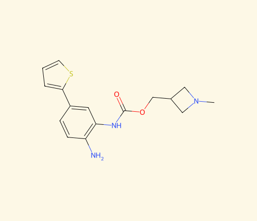 CN1CC(COC(=O)Nc2cc(-c3cccs3)ccc2N)C1